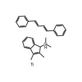 C(C=Cc1ccccc1)=Cc1ccccc1.CC1=C(C)C([SiH](C)C)c2ccccc21.[Ti]